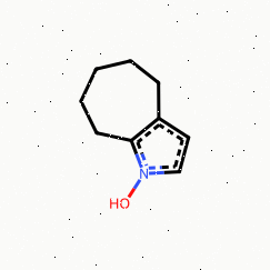 On1ccc2c1CCCCC2